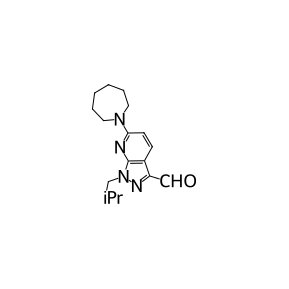 CC(C)Cn1nc(C=O)c2ccc(N3CCCCCC3)nc21